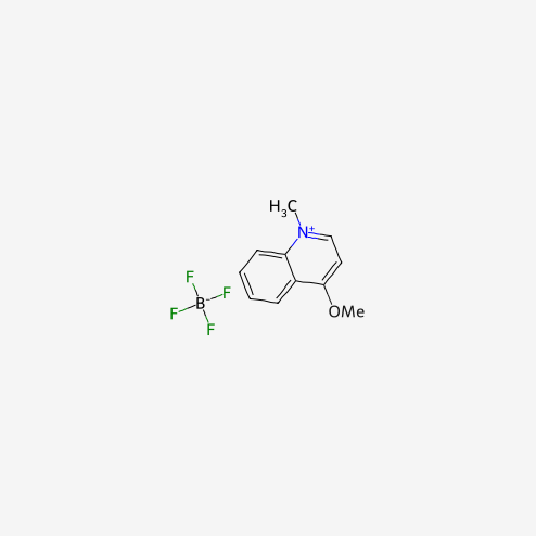 COc1cc[n+](C)c2ccccc12.F[B-](F)(F)F